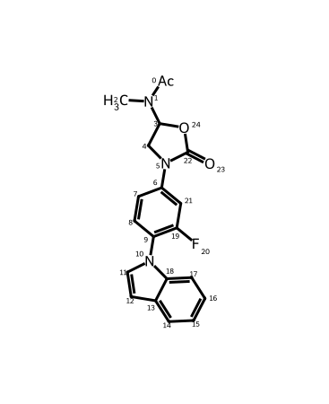 CC(=O)N(C)C1CN(c2ccc(-n3ccc4ccccc43)c(F)c2)C(=O)O1